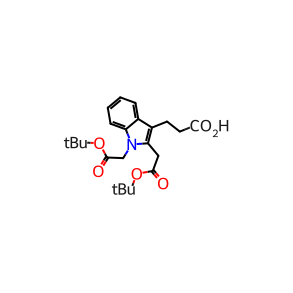 CC(C)(C)OC(=O)Cc1c(CCC(=O)O)c2ccccc2n1CC(=O)OC(C)(C)C